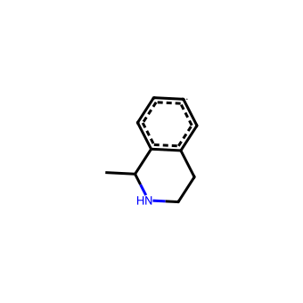 CC1NCCc2c[c]ccc21